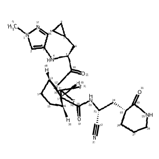 Cn1cc(N[C@@H](CC2CC2)C(=O)N2[C@H]3CC[C@@H]([C@H]2C(=O)N[C@@H](C#N)C[C@H]2CCCNC2=O)C(F)(F)C3)cn1